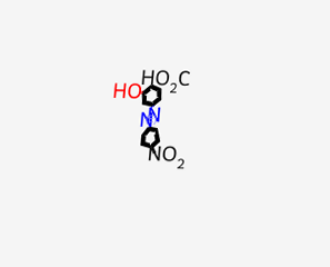 O=C(O)c1ccc(/N=N/c2ccc([N+](=O)[O-])cc2)cc1O